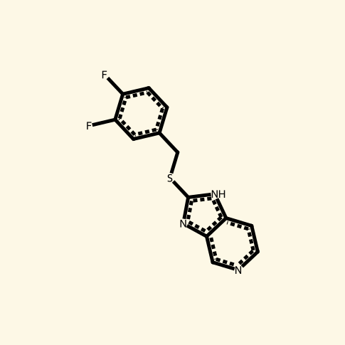 Fc1ccc(CSc2nc3cnccc3[nH]2)cc1F